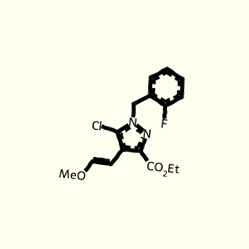 CCOC(=O)c1nn(Cc2ccccc2F)c(Cl)c1C=COC